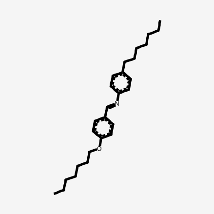 CCCCCCCOc1ccc(/C=N/c2ccc(CCCCCCC)cc2)cc1